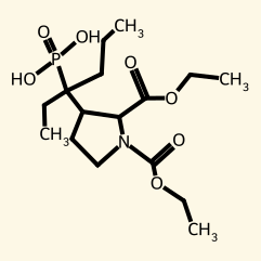 CCCC(CC)(C1CCN(C(=O)OCC)C1C(=O)OCC)P(=O)(O)O